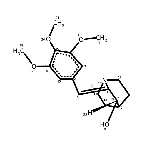 COc1cc(/C=C2/[C@@H](O)C3CCN2CC3)cc(OC)c1OC